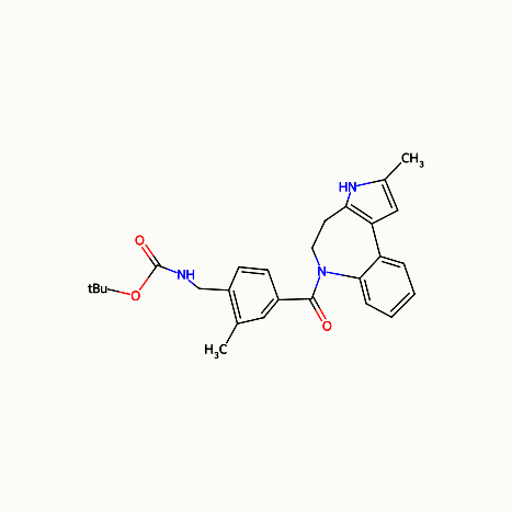 Cc1cc2c([nH]1)CCN(C(=O)c1ccc(CNC(=O)OC(C)(C)C)c(C)c1)c1ccccc1-2